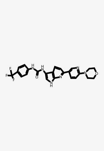 O=C(Nc1ccc(C(F)(F)F)cc1)Nc1c[nH]c2nc(-c3ccc(N4CCOCC4)nc3)ccc12